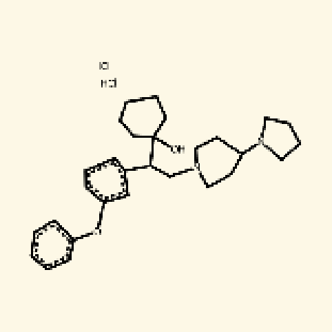 Cl.Cl.OC1(C(CN2CCC(N3CCCC3)CC2)c2cccc(Oc3ccccc3)c2)CCCCC1